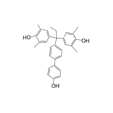 CCC(c1ccc(-c2ccc(O)cc2)cc1)(c1cc(C)c(O)c(C)c1)c1cc(C)c(O)c(C)c1